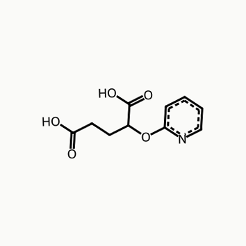 O=C(O)CCC(Oc1ccccn1)C(=O)O